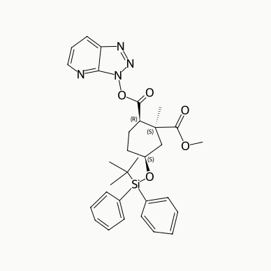 COC(=O)[C@@]1(C)C[C@@H](O[Si](c2ccccc2)(c2ccccc2)C(C)(C)C)CC[C@H]1C(=O)On1nnc2cccnc21